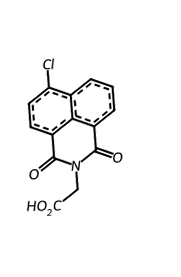 O=C(O)CN1C(=O)c2cccc3c(Cl)ccc(c23)C1=O